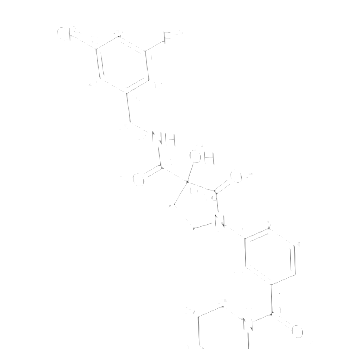 O=C(c1cccc(N2CCC(O)(C(=O)NCc3cc(F)cc(Cl)c3)C2=O)c1)N1CCCCC1